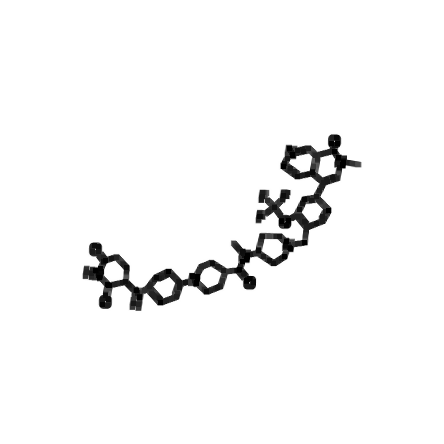 CN(C(=O)C1CCN(c2ccc(NC3CCC(=O)NC3=O)cc2)CC1)C1CCN(Cc2ccc(-c3cn(C)c(=O)c4cnccc34)cc2OC(F)(F)F)CC1